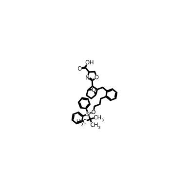 CC(C)(C)[Si](OCCCc1ccccc1CC1C2CCC(O2)C1C1=NC(C(=O)O)CO1)(c1ccccc1)c1ccccc1